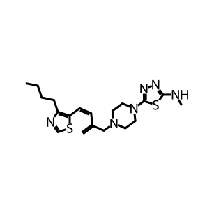 C=C(/C=C\c1scnc1CCCC)CN1CCN(c2nnc(NC)s2)CC1